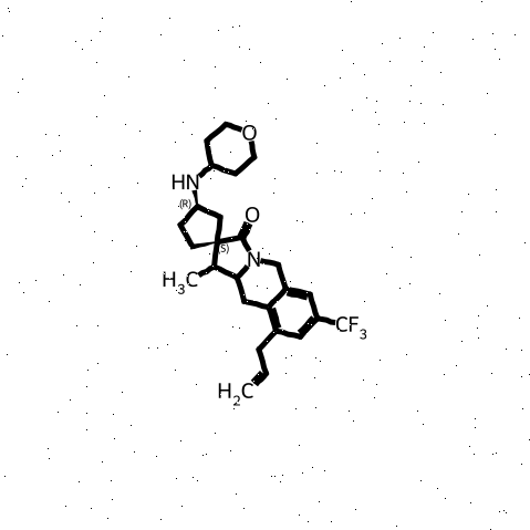 C=CCc1cc(C(F)(F)F)cc2c1CC1C(C)[C@@]3(CC[C@@H](NC4CCOCC4)C3)C(=O)N1C2